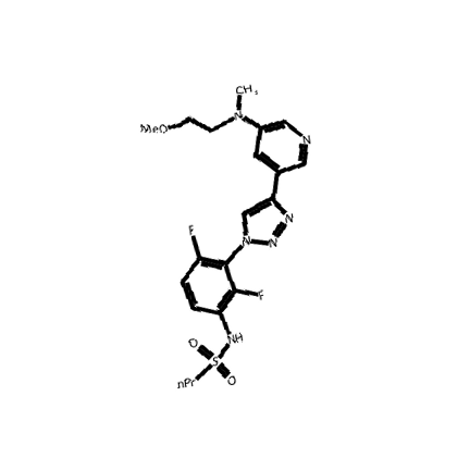 CCCS(=O)(=O)Nc1ccc(F)c(-n2cc(-c3cncc(N(C)CCOC)c3)nn2)c1F